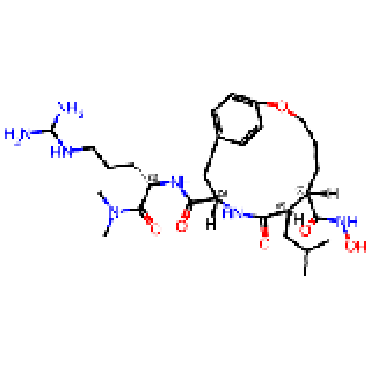 CC(C)C[C@H]1C(=O)N[C@H](C(=O)N[C@@H](CCCNC(N)N)C(=O)N(C)C)Cc2ccc(cc2)OCCC[C@@H]1C(=O)NO